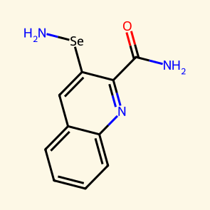 N[Se]c1cc2ccccc2nc1C(N)=O